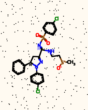 C[S+]([O-])CCN/C(=N\S(=O)(=O)c1ccc(Cl)cc1)C1=NN(c2ccc(Cl)cc2)[C@@H](c2ccccc2)C1